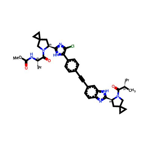 COC(=O)N[C@H](C(=O)N1CC2(CC2)C[C@H]1c1nc(Cl)c(-c2ccc(C#Cc3ccc4nc([C@@H]5CC6(CC6)CN5C(=O)[C@@H](C)C(C)C)[nH]c4c3)cc2)[nH]1)C(C)C